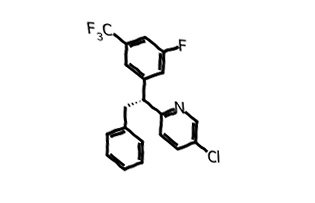 Fc1cc([C@@H](Cc2ccccc2)c2ccc(Cl)cn2)cc(C(F)(F)F)c1